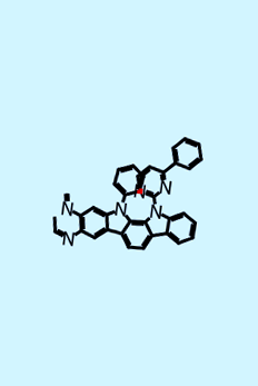 C=Nc1cc2c(cc1/N=C\C)c1ccc3c4ccccc4n(-c4nccc(-c5ccccc5)n4)c3c1n2-c1ccccc1